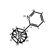 c1ccc([C]23[CH]4[CH]5[CH]6[CH]2[Fe]56432789[CH]3[CH]2[CH]7[CH]8[CH]39)nc1